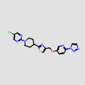 Clc1cnc(N2CCC(c3nc(COc4ccc(-n5ccnn5)nc4)cs3)CC2)nc1